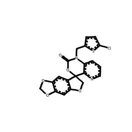 O=C1OC2(COc3cc4c(cc32)OCO4)c2ncccc2N1Cc1ccc(Cl)s1